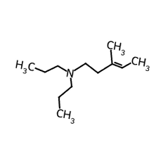 C/C=C(\C)CCN(CCC)CCC